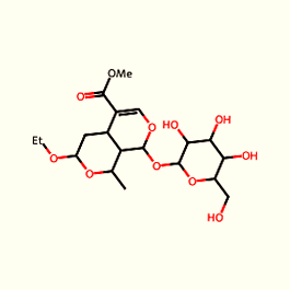 CCOC1CC2C(C(=O)OC)=COC(OC3OC(CO)C(O)C(O)C3O)C2C(C)O1